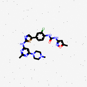 Cc1nc(Nc2ncc(-c3ccc(NC(=O)Nc4cc(C)on4)c(Cl)c3)s2)cc(N2CCN(C)CC2)n1